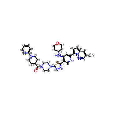 N#Cc1cnn2c(-c3cc(NC4CCOCC4)c(-c4nnc(N5CCN(C(=O)C6CCN(c7ccccn7)CC6)CC5)s4)cn3)ccc2c1